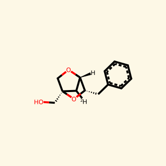 [2H]C1[C@@H]2OC[C@]1(CO)O[C@H]2Cc1ccccc1